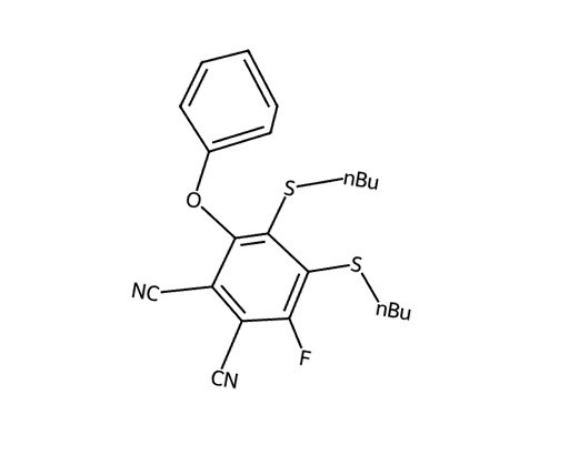 CCCCSc1c(F)c(C#N)c(C#N)c(Oc2ccccc2)c1SCCCC